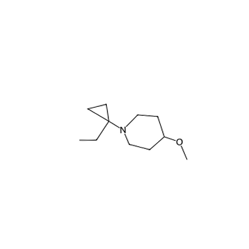 CCC1(N2CCC(OC)CC2)CC1